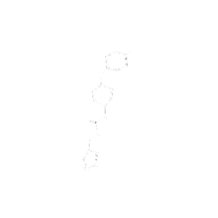 O=C(NCc1cn[nH]c1)Nc1ccc(Sc2ccc(Cl)cc2)cc1